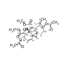 C=C1C[C@]23C[C@@]1(OC(C)=O)CC[C@@]21C[C@]12C=C[C@H](OC(C)=O)[C@@](C)(C(=O)OC)[C@H]2[C@@H]3C(=O)OC